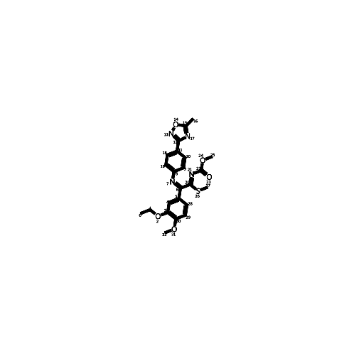 CCOc1cc(C(=Nc2ccc(-c3noc(C)n3)cc2)C(=NC(=O)OC)SC)ccc1OC